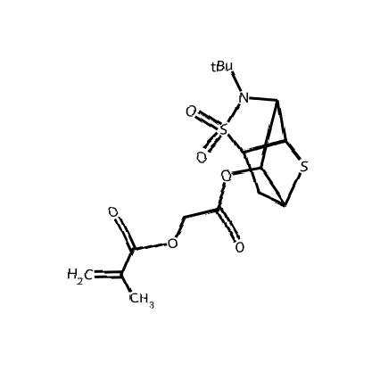 C=C(C)C(=O)OCC(=O)OC1C2CC3C(S2)C1N(C(C)(C)C)S3(=O)=O